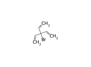 C=CC(Br)(C=C)C=C